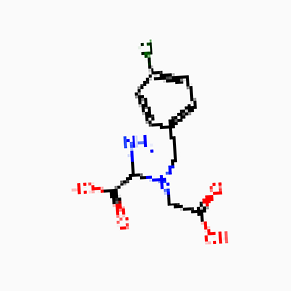 NC(C(=O)O)N(CC(=O)O)Cc1ccc(Cl)cc1